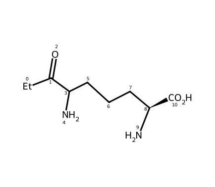 CCC(=O)C(N)CCC[C@H](N)C(=O)O